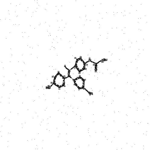 CC(=C(c1ccc(O)cc1)c1ccc(O)cc1)c1ccc(OC(=O)C(C)(C)C)cc1